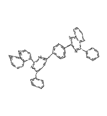 c1ccc(-c2cc(-c3ccc(-c4nc(-c5ccccc5)c5ccccc5n4)cc3)nc(-c3cccc4ccccc34)n2)cc1